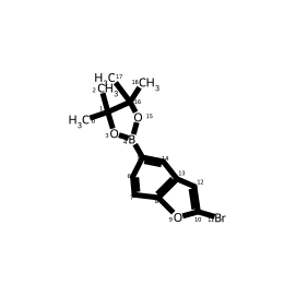 CC1(C)OB(c2ccc3oc(Br)cc3c2)OC1(C)C